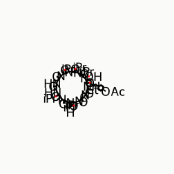 CC[C@@H]1NC(=O)[C@H]([C@H](O)[C@H](C)C/C=C/c2ccc(OC(C)=O)cc2)N(C)C(=O)[C@H](C(C)C)N(C)C(=O)[C@H](CC(C)C)N(C)C(=O)[C@H](CC(C)C)N(C)C(=O)[C@@H](C)NC(=O)[C@H](C)NC(=O)[C@H](CC(C)C)N(C)C(=O)[C@H](C(C)C)NC(=O)[C@H](CC(C)C)N(C)C(=O)CN(C)C1=O